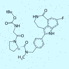 CN(Cc1ccc(-c2[nH]c3cc(F)cc4c3c2CCNC4=O)cc1)C(=O)[C@@H]1CCCN1C(=O)CNC(=O)OC(C)(C)C